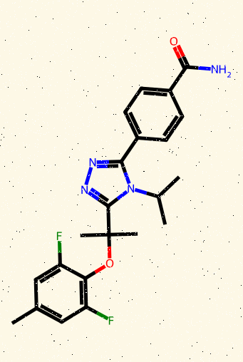 Cc1cc(F)c(OC(C)(C)c2nnc(-c3ccc(C(N)=O)cc3)n2C(C)C)c(F)c1